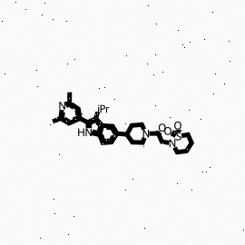 Cc1cc(-c2[nH]c3ccc(C4CCN(C(=O)CN5CCCCS5(=O)=O)CC4)cc3c2C(C)C)cc(C)n1